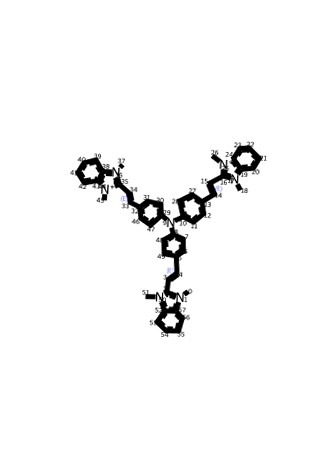 Cn1c(/C=C/c2ccc(N(c3ccc(/C=C/c4n(C)c5ccccc5[n+]4C)cc3)c3ccc(/C=C/c4n(C)c5ccccc5[n+]4C)cc3)cc2)[n+](C)c2ccccc21